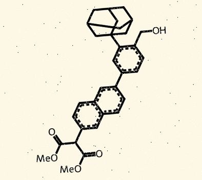 COC(=O)C(C(=O)OC)c1ccc2cc(-c3ccc(CO)c(C45CC6CC(CC(C6)C4)C5)c3)ccc2c1